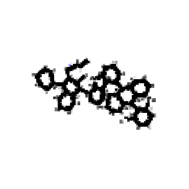 C=C/C=C\c1c(C)c(-c2cccc3c2sc2cccc(-c4c5ccccc5c(-c5c(F)cccc5F)c5ccccc45)c23)c2ccccc2c1-c1ccccc1